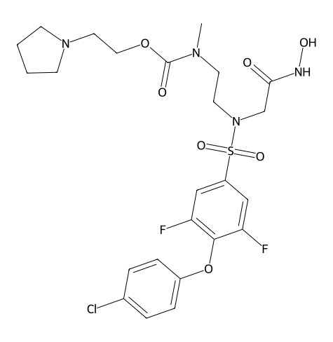 CN(CCN(CC(=O)NO)S(=O)(=O)c1cc(F)c(Oc2ccc(Cl)cc2)c(F)c1)C(=O)OCCN1CCCC1